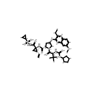 C=C[C@@H]1C[C@]1(NC(=O)[C@@H]1C[C@@H](Oc2nc3cc(OC)ccc3nc2CC)CN1C(=O)[C@@H](NC(=O)OC1CCCC1)C(C)(C)C)C(=O)NS(=O)(=O)C1CC1